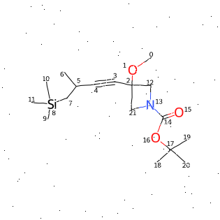 COC1(C#CC(C)C[Si](C)(C)C)CN(C(=O)OC(C)(C)C)C1